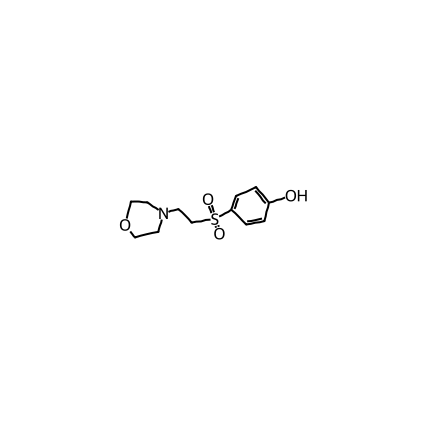 O=S(=O)(CCN1CCOCC1)c1ccc(O)cc1